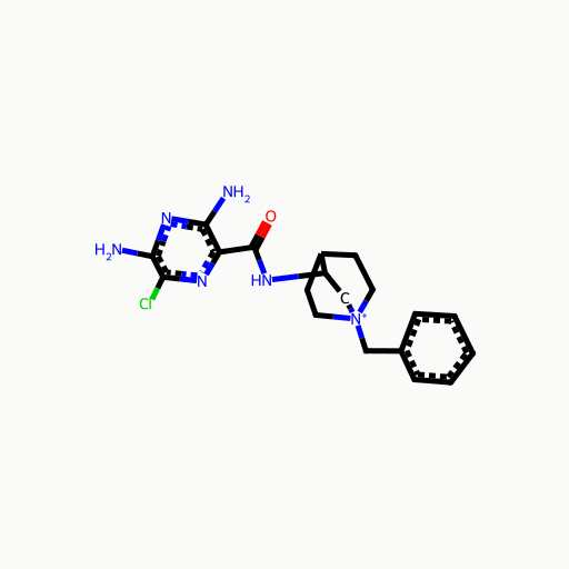 Nc1nc(N)c(C(=O)NC2C[N+]3(Cc4ccccc4)CCC2CC3)nc1Cl